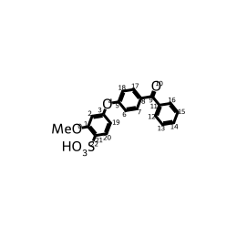 COc1cc(Oc2ccc(C(=O)c3ccccc3)cc2)ccc1S(=O)(=O)O